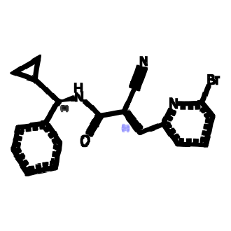 N#C/C(=C\c1cccc(Br)n1)C(=O)N[C@@H](c1ccccc1)C1CC1